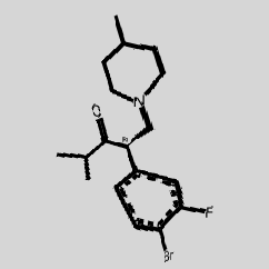 CC1CCN(C[C@H](C(=O)C(C)C)c2ccc(Br)c(F)c2)CC1